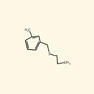 CCCSCc1cccc(C)c1